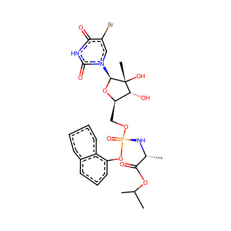 CC(C)OC(=O)[C@@H](C)N[P@@](=O)(OC[C@H]1O[C@@H](n2cc(Br)c(=O)[nH]c2=O)[C@](C)(O)[C@@H]1O)Oc1cccc2ccccc12